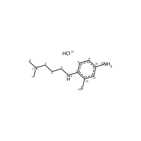 CN(C)CCCNc1ccc(N)cc1F.Cl